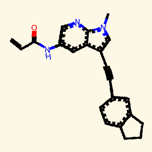 C=CC(=O)Nc1cnc2c(c1)c(C#Cc1ccc3c(c1)CCC3)cn2C